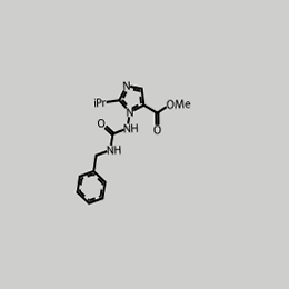 COC(=O)c1cnc(C(C)C)n1NC(=O)NCc1ccccc1